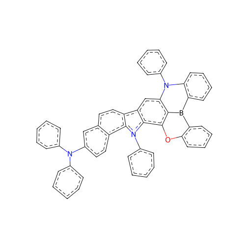 c1ccc(N(c2ccccc2)c2ccc3c(ccc4c5cc6c7c(c5n(-c5ccccc5)c34)Oc3ccccc3B7c3ccccc3N6c3ccccc3)c2)cc1